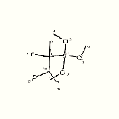 CO[Si](OC)(OC)C(C)(F)C(F)F